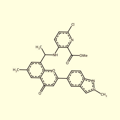 COC(=O)c1nc(Cl)ccc1NC(C)c1cc(C)cc2c(=O)cc(-c3ccc4nn(C)cc4c3)oc12